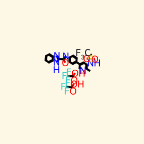 Cc1ncc(-c2ccc3nc(-c4nc5ccccc5[nH]4)oc3c2)cc1NS(=O)(=O)CC(F)(F)F.O=C(O)C(F)(F)F.O=C(O)C(F)(F)F